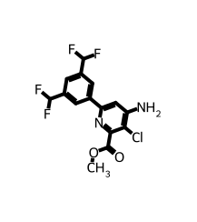 COC(=O)c1nc(-c2cc(C(F)F)cc(C(F)F)c2)cc(N)c1Cl